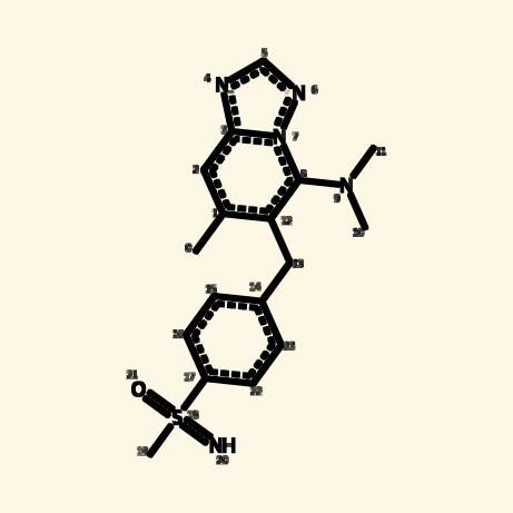 Cc1cc2ncnn2c(N(C)C)c1Cc1ccc(S(C)(=N)=O)cc1